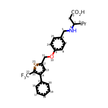 CC(C)C(CC(=O)O)NCc1ccc(OCc2cc(-c3ccccc3)c(C(F)(F)F)s2)cc1